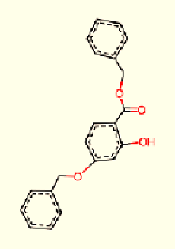 O=C(OCc1ccccc1)c1ccc(OCc2ccccc2)cc1O